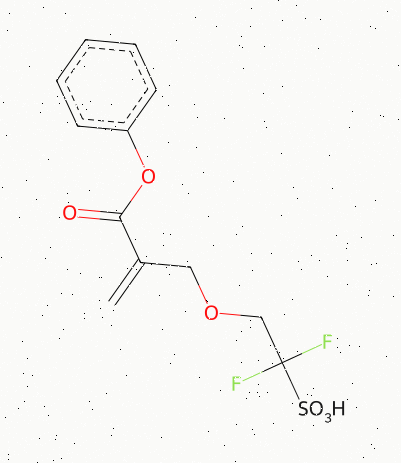 C=C(COCC(F)(F)S(=O)(=O)O)C(=O)Oc1ccccc1